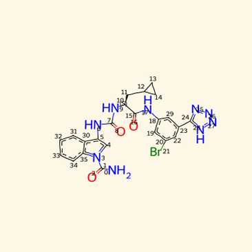 NC(=O)n1cc(NC(=O)N[C@@H](CC2CC2)C(=O)Nc2cc(Br)cc(-c3nnn[nH]3)c2)c2ccccc21